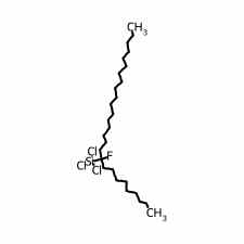 CCCCCCCCCCCCCCCCCC(F)(CCCCCCCCC)[Si](Cl)(Cl)Cl